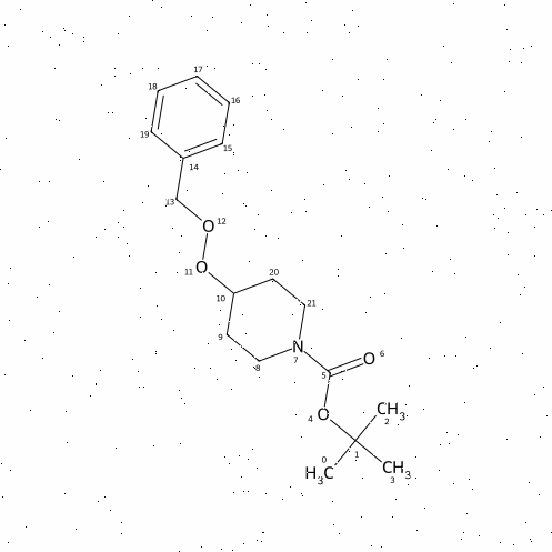 CC(C)(C)OC(=O)N1CCC(OOCc2ccccc2)CC1